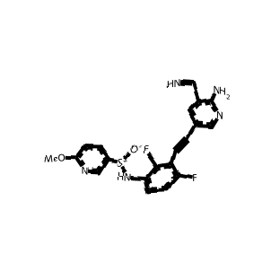 COc1ccc([S+]([O-])Nc2ccc(F)c(C#Cc3cnc(N)c(C=N)c3)c2F)cn1